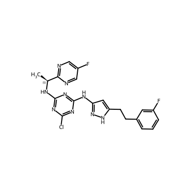 C[C@H](Nc1nc(Cl)nc(Nc2cc(CCc3cccc(F)c3)[nH]n2)n1)c1ncc(F)cn1